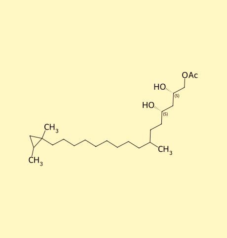 CC(=O)OC[C@@H](O)C[C@@H](O)CCC(C)CCCCCCCCCC1(C)CC1C